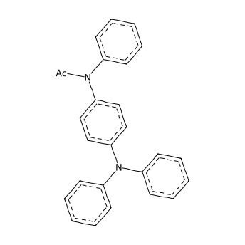 CC(=O)N(c1ccccc1)c1ccc(N(c2ccccc2)c2ccccc2)cc1